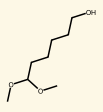 COC(CCCCCO)OC